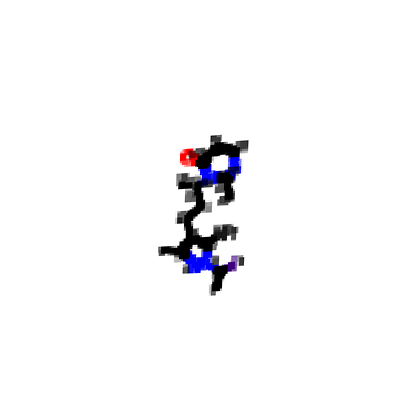 Cc1nn(C(C)I)c(C(C)C)c1CC[C@@H](C)n1c(C)nccc1=O